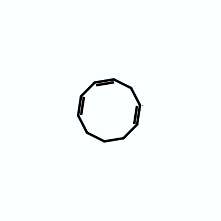 [C]1=C\CCC/C=C\C=C/C/1